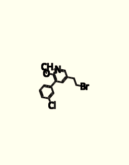 COc1ncc(CCBr)cc1-c1cccc(Cl)c1